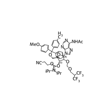 COc1ccc(C(OC[C@H]2O[C@@H](n3cnc4c(NC(C)=O)ncnc43)C(OCOCC(C(F)(F)F)C(F)(F)F)[C@H]2OP(OCCC#N)N(C(C)C)C(C)C)(c2ccccc2)c2ccc(C)cc2)cc1